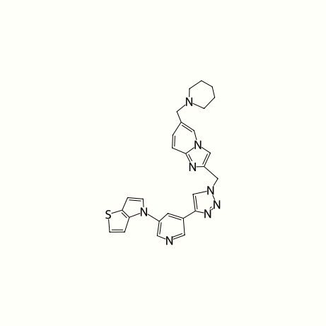 c1cc2c(ccn2-c2cncc(-c3cn(Cc4cn5cc(CN6CCCCC6)ccc5n4)nn3)c2)s1